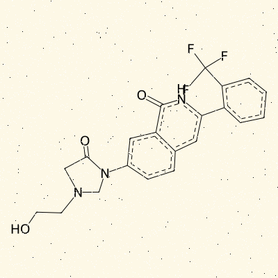 O=C1CN(CCO)CN1c1ccc2cc(-c3ccccc3C(F)(F)F)[nH]c(=O)c2c1